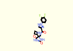 O=C1NC(=O)C(CNC(=O)c2cnn(-c3ccc(F)c(F)c3)n2)(C2CCC2)N1